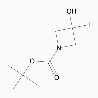 CC(C)(C)OC(=O)N1CC(O)(I)C1